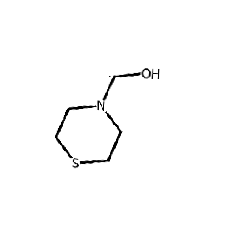 O[CH]N1CCSCC1